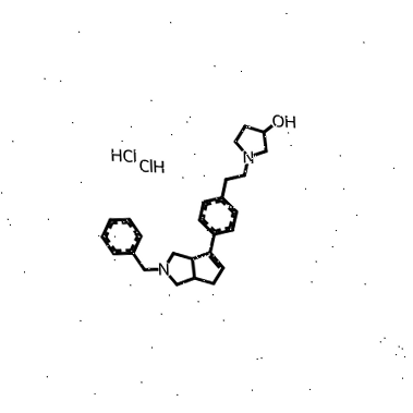 Cl.Cl.OC1CCN(CCc2ccc(C3=CCC4CN(Cc5ccccc5)CC34)cc2)C1